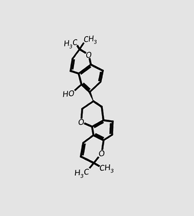 CC1(C)C=Cc2c(ccc([C@@H]3COc4c(ccc5c4C=CC(C)(C)O5)C3)c2O)O1